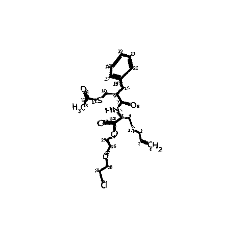 C=CCSC[C@H](NC(=O)[C@@H](CSC(C)=O)Cc1ccccc1)C(=O)OCCOCCCl